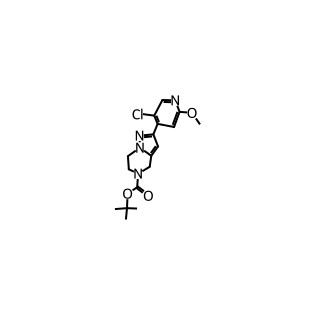 COc1cc(-c2cc3n(n2)CCN(C(=O)OC(C)(C)C)C3)c(Cl)cn1